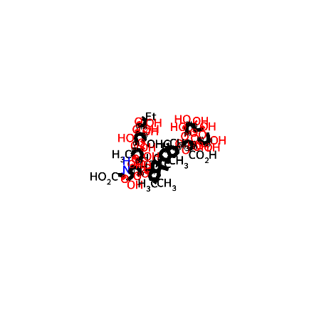 CCC1(O)CO[C@@H](OC2C(O)[C@H](O[C@H]3C(C)O[C@@H](OC4C(O)[C@@H](NC(=O)CC(=O)O)C(CO)O[C@H]4OC(=O)[C@]45CCC(C)(C)CC4C4=CCC6C7(C)CC[C@H](O[C@@H]8OC(C(=O)O)[C@@H](O)[C@H](O[C@@H]9OC[C@@H](O)[C@H](O)C9O)C8O[C@@H]8OC(CO)[C@H](O)[C@H](O)C8O)[C@](C)(C=O)[C@@H]7CC[C@]6(C)[C@]4(C)CC5O)C(O)C3O)OC[C@H]2O)[C@H]1O